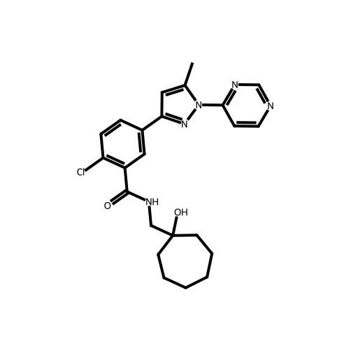 Cc1cc(-c2ccc(Cl)c(C(=O)NCC3(O)CCCCCC3)c2)nn1-c1ccncn1